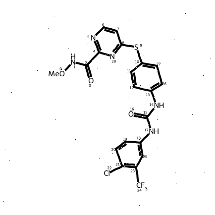 CONC(=O)c1nccc(Sc2ccc(NC(=O)Nc3ccc(Cl)c(C(F)(F)F)c3)cc2)n1